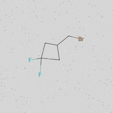 FC1(F)CC(CBr)C1